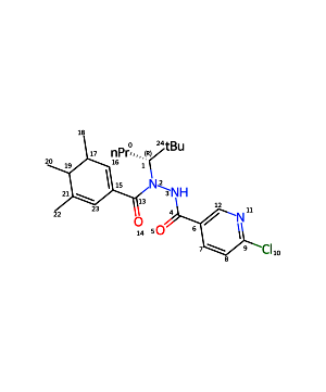 CCC[C@@H](N(NC(=O)c1ccc(Cl)nc1)C(=O)C1=CC(C)C(C)C(C)=C1)C(C)(C)C